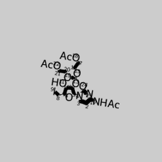 CC(=O)Nc1ccn([C@@H]2O[C@H](CI)C(O)C2OC(OCCOC(C)=O)OCCOC(C)=O)c(=O)n1